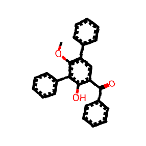 COc1c(-c2ccccc2)cc(C(=O)c2ccccc2)c(O)c1-c1ccccc1